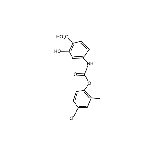 Cc1cc(Cl)ccc1OC(=O)Nc1ccc(C(=O)O)c(O)c1